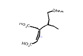 COCC(C)/C(=C/C(=O)O)C(=O)O